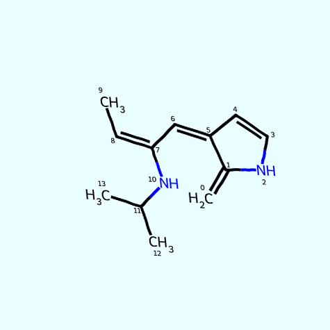 C=c1[nH]cc/c1=C/C(=C\C)NC(C)C